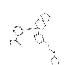 COC(=O)c1cccc(C#CC2(c3cccc(OCOC4CCCC4)c3)CCC3(CC2)OCCO3)c1